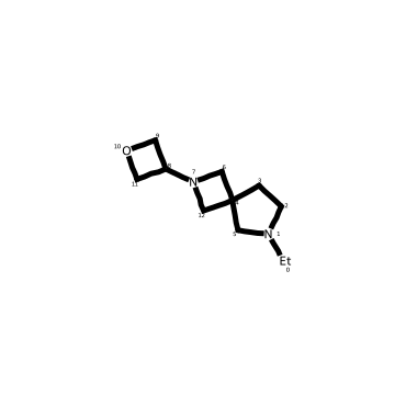 CCN1CCC2(C1)CN(C1COC1)C2